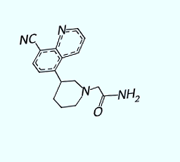 N#Cc1ccc(C2CCCN(CC(N)=O)C2)c2cccnc12